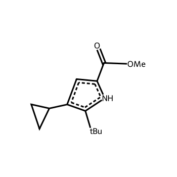 COC(=O)c1cc(C2CC2)c(C(C)(C)C)[nH]1